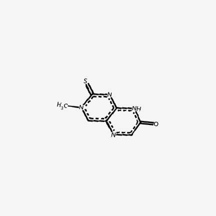 Cn1cc2ncc(=O)[nH]c2nc1=S